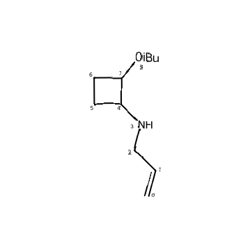 C=CCNC1CCC1OCC(C)C